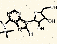 CN(c1ncnc2c1nc(Cl)n2C1OC(CO)C(O)C1O)[Si](C)(C)C